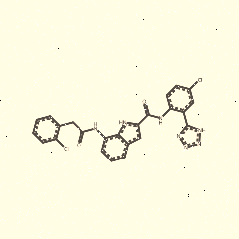 O=C(Cc1ccccc1Cl)Nc1cccc2cc(C(=O)Nc3ccc(Cl)cc3-c3nnn[nH]3)[nH]c12